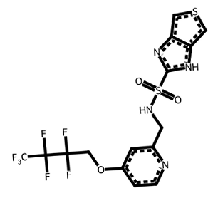 O=S(=O)(NCc1cc(OCC(F)(F)C(F)(F)C(F)(F)F)ccn1)c1nc2cscc2[nH]1